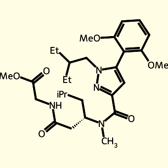 CCC(CC)Cn1nc(C(=O)N(C)[C@H](CC(=O)NCC(=O)OC)CC(C)C)cc1-c1c(OC)cccc1OC